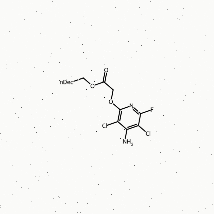 CCCCCCCCCCCOC(=O)COc1nc(F)c(Cl)c(N)c1Cl